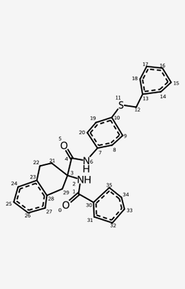 O=C(NC1(C(=O)Nc2ccc(SCc3ccccc3)cc2)CCc2ccccc2C1)c1ccccc1